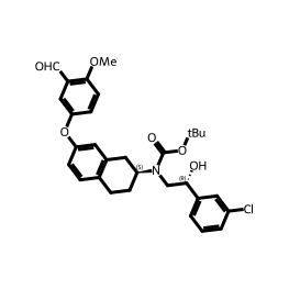 COc1ccc(Oc2ccc3c(c2)C[C@@H](N(C[C@H](O)c2cccc(Cl)c2)C(=O)OC(C)(C)C)CC3)cc1C=O